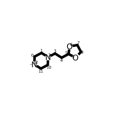 C1CN(CCC2OCCO2)CC[N]1